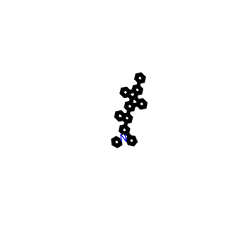 c1ccc(-c2ccc3c(c2)c2ccccc2c2c4ccc(-c5ccc(-c6ccc7c(c6)c6ccccc6n7-c6ccccc6)c6ccccc56)cc4c4ccccc4c32)cc1